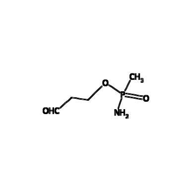 CP(N)(=O)OCCC=O